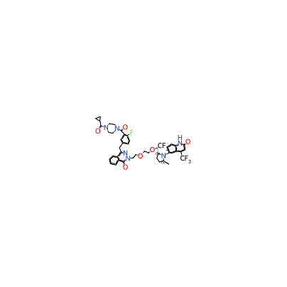 C[C@H]1CC[C@H](C(OCCOCCn2nc(Cc3ccc(F)c(C(=O)N4CCN(C(=O)C5CC5)CC4)c3)c3ccccc3c2=O)C(F)(F)F)N1c1ccc2[nH]c(=O)cc(C(F)(F)F)c2c1